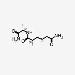 C[C@H](NC(=O)[C@@H](C)CSCC(N)=O)C(N)=O